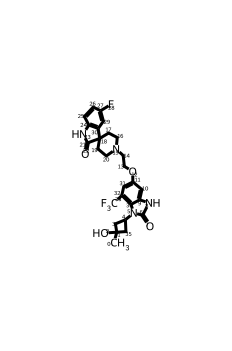 CC1(O)CC(n2c(=O)[nH]c3cc(OCCN4CCC5(CC4)C(=O)Nc4ccc(F)cc45)cc(C(F)(F)F)c32)C1